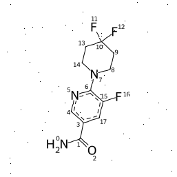 NC(=O)c1cnc(N2CCC(F)(F)CC2)c(F)c1